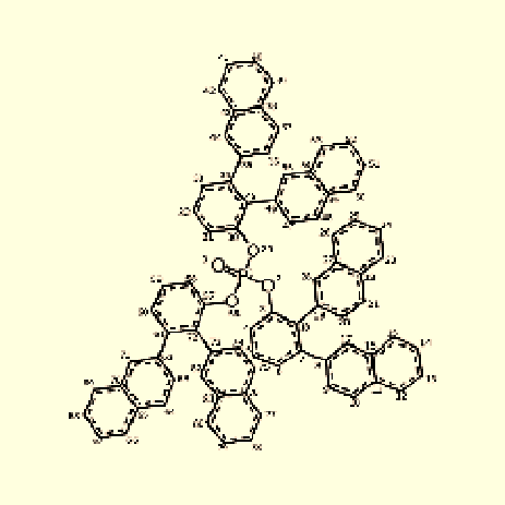 O=P(Oc1cccc(-c2ccc3ccccc3c2)c1-c1ccc2ccccc2c1)(Oc1cccc(-c2ccc3ccccc3c2)c1-c1ccc2ccccc2c1)Oc1cccc(-c2ccc3ccccc3c2)c1-c1ccc2ccccc2c1